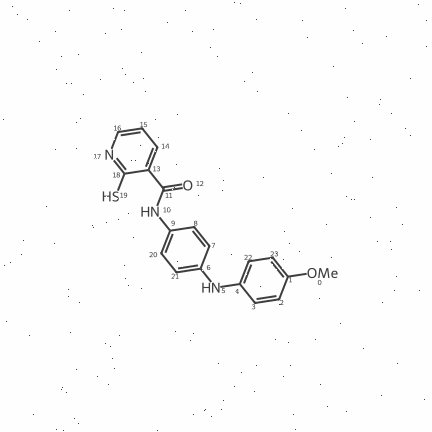 COc1ccc(Nc2ccc(NC(=O)c3cccnc3S)cc2)cc1